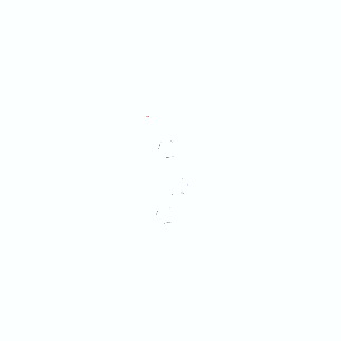 C[C@H](NCCc1ccc(OCC(=O)O)c(O)c1)[C@H](O)c1ccc(O)cc1